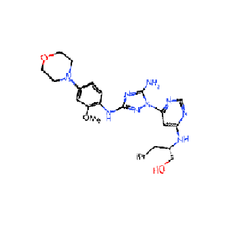 COc1cc(N2CCOCC2)ccc1Nc1nc(N)n(-c2cc(N[C@H](CO)CC(C)C)ncn2)n1